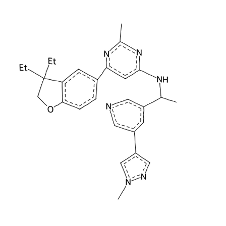 CCC1(CC)COc2ccc(-c3cc(NC(C)c4cncc(-c5cnn(C)c5)c4)nc(C)n3)cc21